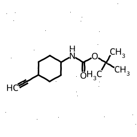 C#CC1CCC(NC(=O)OC(C)(C)C)CC1